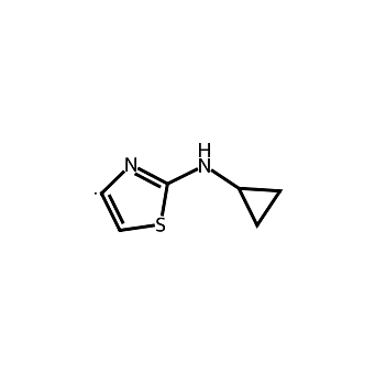 [c]1csc(NC2CC2)n1